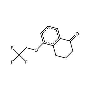 O=C1CCCc2c(OCC(F)(F)F)cccc21